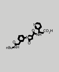 CCCCNC(=O)Cc1cccc(N2CC(C(=O)NC(CC(=O)O)c3cccnc3)CC2=O)c1